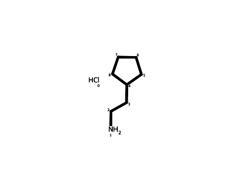 Cl.NCCC1CCCC1